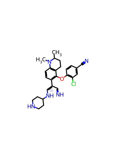 CC1CCc2c(ccc(/C(C=N)=C/NC3CCNCC3)c2Oc2ccc(C#N)cc2Cl)N1C